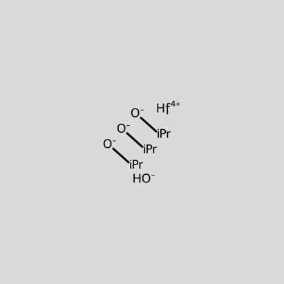 CC(C)[O-].CC(C)[O-].CC(C)[O-].[Hf+4].[OH-]